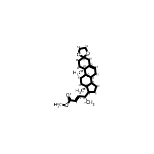 COC(=O)/C=C/[C@@H](C)C1CCC2C3CC=C4CC5(CC[C@]4(C)C3CC[C@@]21C)OCCO5